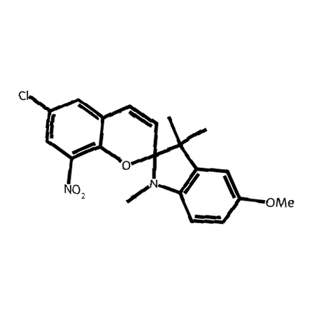 COc1ccc2c(c1)C(C)(C)C1(C=Cc3cc(Cl)cc([N+](=O)[O-])c3O1)N2C